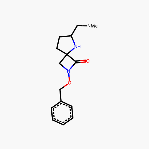 CNCC1CCC2(CN(OCc3ccccc3)C2=O)N1